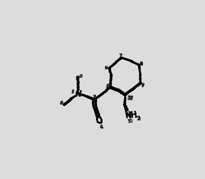 CN(C)C(=O)C1CCCC[C@H]1N